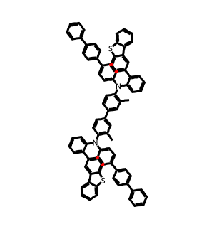 Cc1cc(-c2ccc(N(c3ccc(-c4ccc(-c5ccccc5)cc4)cc3)c3ccccc3-c3ccc4sc5ccccc5c4c3)c(C)c2)ccc1N(c1ccc(-c2ccc(-c3ccccc3)cc2)cc1)c1ccccc1-c1ccc2sc3ccccc3c2c1